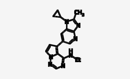 CCNc1ncnn2ccc(-c3cnc4nc(C)n(C5CC5)c4c3)c12